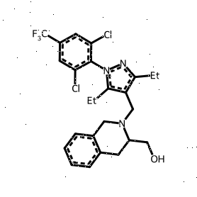 CCc1nn(-c2c(Cl)cc(C(F)(F)F)cc2Cl)c(CC)c1CN1Cc2ccccc2CC1CO